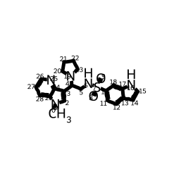 Cn1cc(C(CNS(=O)(=O)c2ccc3cc[nH]c3c2)N2CCCC2)c2ncccc21